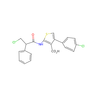 O=C(O)c1c(-c2ccc(Cl)cc2)csc1NC(=O)C(CCl)c1ccccc1